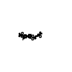 C=C(C)C(=O)OCCC(=C)C(=O)Oc1ccc(-c2ccc(OC(=O)C(=C)C)c(F)c2)cc1